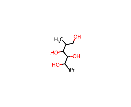 CC(C)C(O)C(O)C(O)C(C)CO